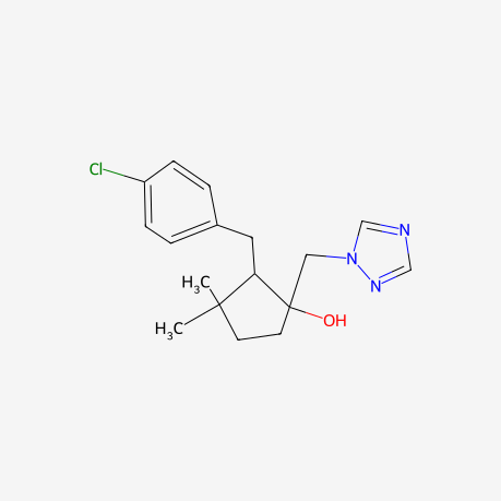 CC1(C)CCC(O)(Cn2cncn2)C1Cc1ccc(Cl)cc1